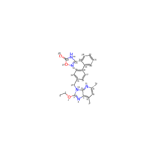 CCOc1nc2c(C)cc(C)nc2n1Cc1ccc(-c2ccccc2-c2noc(=O)[nH]2)cc1